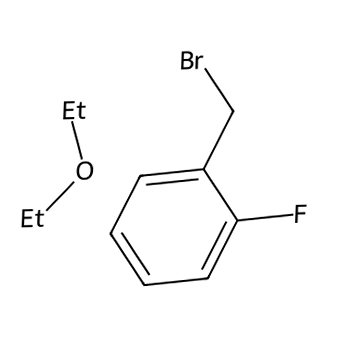 CCOCC.Fc1ccccc1CBr